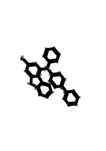 Clc1cc(N(c2ccccc2)c2ccc(-c3ccccc3)cc2)c2c(c1)oc1ccccc12